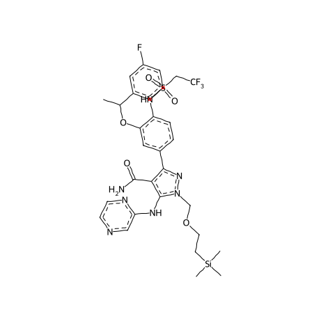 CC(Oc1cc(-c2nn(COCC[Si](C)(C)C)c(Nc3cnccn3)c2C(N)=O)ccc1NS(=O)(=O)CC(F)(F)F)c1cccc(F)c1